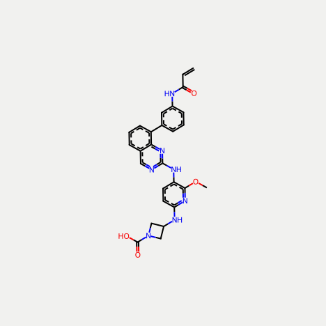 C=CC(=O)Nc1cccc(-c2cccc3cnc(Nc4ccc(NC5CN(C(=O)O)C5)nc4OC)nc23)c1